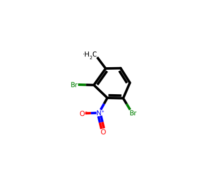 [CH2]c1ccc(Br)c([N+](=O)[O-])c1Br